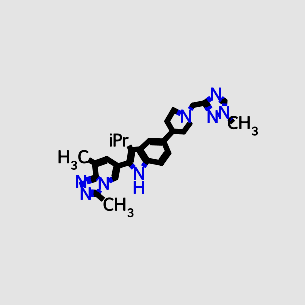 Cc1cc(-c2[nH]c3ccc(C4CCN(Cc5ncn(C)n5)CC4)cc3c2C(C)C)cn2c(C)nnc12